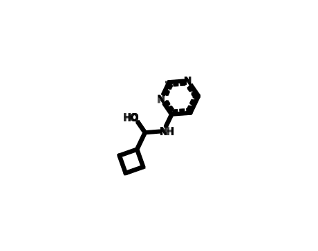 OC(Nc1ccn[c]n1)C1CCC1